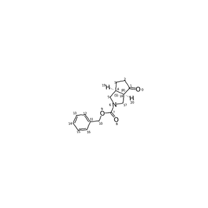 O=C1CC[C@@H]2CN(C(=O)OCc3ccccc3)C[C@H]12